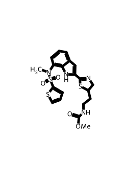 COC(=O)NCCC1CN=C(c2cc3cccc(N(C)S(=O)(=O)c4cccs4)c3[nH]2)S1